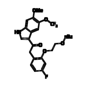 CCCCOCCOc1cc(F)ccc1CC(=O)c1c[nH]c2cc(OC)c(OC(F)(F)F)cc12